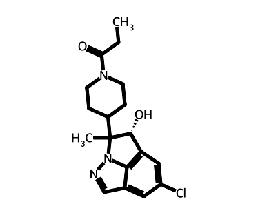 CCC(=O)N1CCC(C2(C)[C@H](O)c3cc(Cl)cc4cnn2c34)CC1